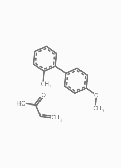 C=CC(=O)O.COc1ccc(-c2ccccc2C)cc1